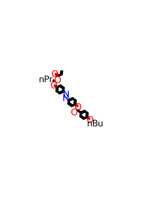 C=CC(=O)OC(CCC)Oc1ccc(/N=N/c2ccc(OC(=O)c3ccc(OCCCC)cc3)cc2)cc1